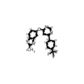 Cc1nc2cc(Oc3cc(-c4ccc(C(F)(F)F)cc4)ncn3)ccc2s1